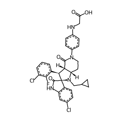 O=C(O)CNc1ccc(N2CC[C@H]3[C@@H](C2=O)[C@H](c2cccc(Cl)c2F)[C@]2(C(=O)Nc4cc(Cl)ccc42)N3CC2CC2)cc1